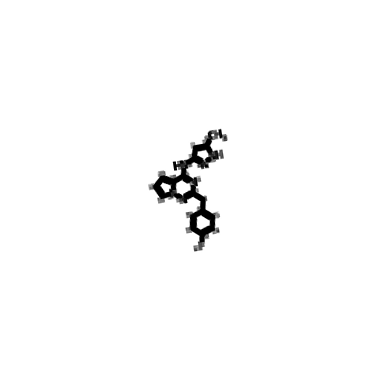 Cc1cc(Nc2nc(Cc3ccc(F)cc3)nn3cccc23)n[nH]1